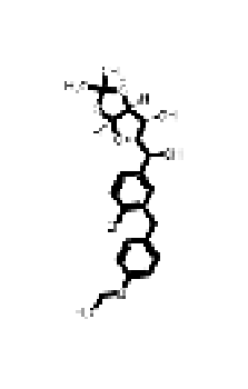 CCOc1ccc(Cc2cc([C@H](O)[C@@H]3O[C@H]4OC(C)(C)O[C@H]4[C@@H]3O)ccc2Cl)cc1